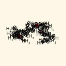 CC(C)C[C@H](NC(=O)[C@H](Cc1ccc(O)cc1)NC(=O)[C@@H](CO)NC(=O)[C@H](CO)NC(=O)[C@@H](NC(=O)[C@H](CC(=O)O)NC(=O)[C@H](CO)NC(=O)[C@@H](NC(=O)[C@H](Cc1ccccc1)NC(=O)[C@@H](NC(=O)CNC(=O)[C@H](CCC(=O)O)NC(=O)[C@H](C)NC(=O)[C@@H](N)Cc1c[nH]cn1)[C@@H](C)O)[C@@H](C)O)C(C)C)C(=O)N[C@@H](CCC(=O)O)C(=O)NCC(=O)N[C@@H](CCC(N)=O)C(=O)N[C@@H](C)C(=O)N[C@@H](C)C(=O)N[C@@H](CCCCN)C(=O)O